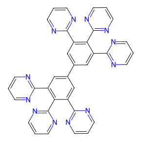 c1cnc(-c2cc(-c3cc(-c4ncccn4)c(-c4ncccn4)c(-c4ncccn4)c3)cc(-c3ncccn3)c2-c2ncccn2)nc1